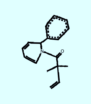 C=CC(C)(C)C(=O)N1C=CC=CC1c1ccccc1